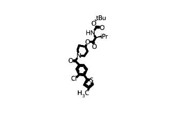 Cc1csc(-c2ccc(C(=O)N3CCC(OC(=O)[C@@H](NC(=O)OC(C)(C)C)C(C)C)CC3)cc2Cl)c1